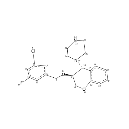 Fc1cc(Cl)cc(CO[C@@H]2COc3ccccc3[C@H]2N2CCNCC2)c1